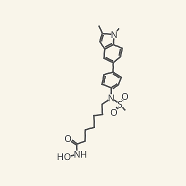 Cc1cc2cc(-c3ccc(N(CCCCCCC(=O)NO)S(C)(=O)=O)cc3)ccc2n1C